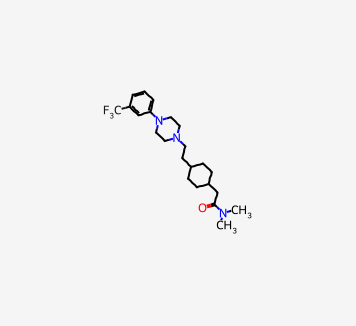 CN(C)C(=O)CC1CCC(CCN2CCN(c3cccc(C(F)(F)F)c3)CC2)CC1